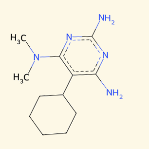 CN(C)c1nc(N)nc(N)c1C1CCCCC1